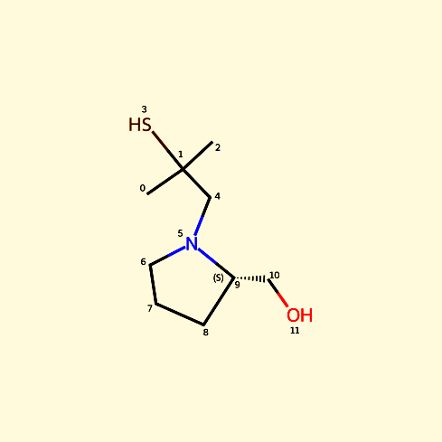 CC(C)(S)CN1CCC[C@H]1CO